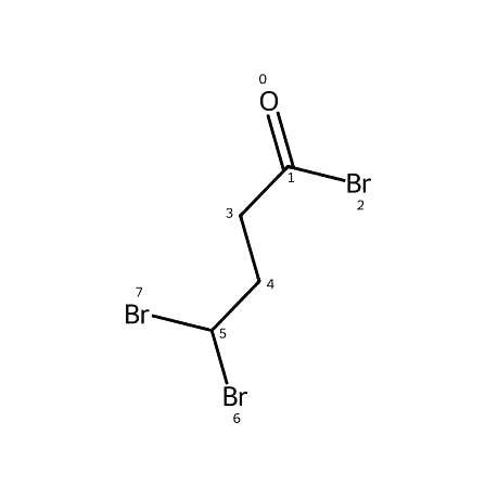 O=C(Br)CCC(Br)Br